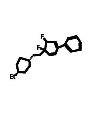 CC[C@H]1CC[C@H](CCC2(F)C=CC(c3ccccc3)=CC2F)CC1